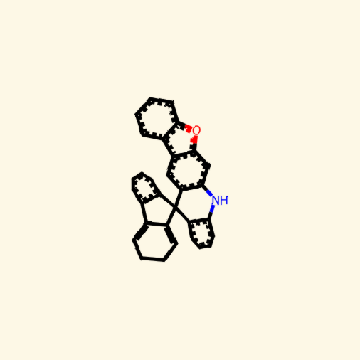 C1=C2C(=CCC1)C1(c3ccccc3Nc3cc4oc5ccccc5c4cc31)c1ccccc12